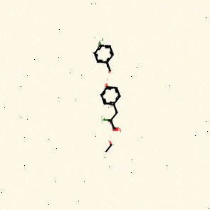 CCOC(=O)C(Cl)Cc1ccc(OCc2ccc(Cl)cc2)cc1